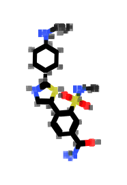 CCNS(=O)(=O)c1cc(C(N)=O)ccc1-c1cnc([C@H]2CC[C@H](NC(=O)O)CC2)s1